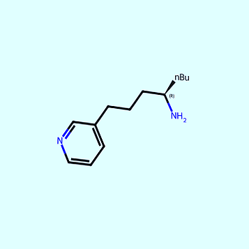 CCCC[C@@H](N)CCCc1cccnc1